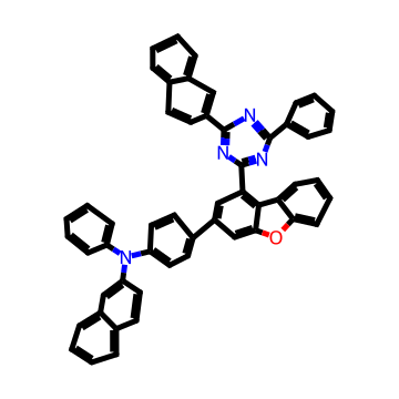 c1ccc(-c2nc(-c3ccc4ccccc4c3)nc(-c3cc(-c4ccc(N(c5ccccc5)c5ccc6ccccc6c5)cc4)cc4oc5ccccc5c34)n2)cc1